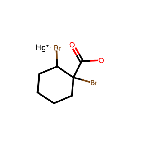 O=C([O-])C1(Br)CCCCC1Br.[Hg+]